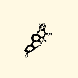 Cn1nnnc1C(O)c1c2cccc(-c3ccc(Cl)cc3Cl)c2nn1C